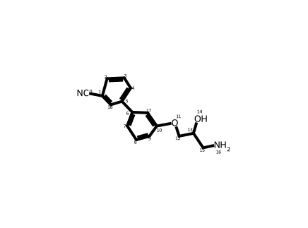 N#Cc1cccc(-c2cccc(OCC(O)CN)c2)c1